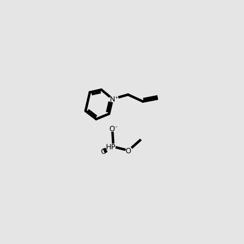 C=CC[n+]1ccccc1.CO[PH](=O)[O-]